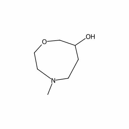 CN1CCOCC(O)CC1